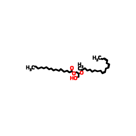 CC/C=C\C/C=C\C/C=C\CCCCCCCC(C)OC(CO)COC(=O)CCCCCCCCCCCCCCC